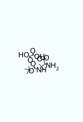 COC(=O)C(N)C(C)(C)NC(=O)OC(C)(C)C.O=C(O)C(=O)O